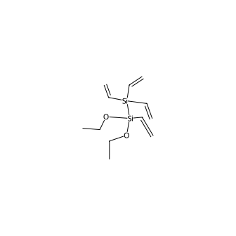 C=C[Si](C=C)(C=C)[Si](C=C)(OCC)OCC